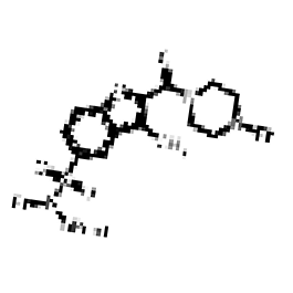 CCCCCN(CC)S(=O)(=O)c1ccc2oc(C(=O)N3CCN(CC)CC3)c(C)c2c1